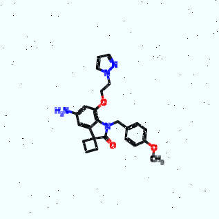 COc1ccc(CN2C(=O)C3(CCC3)c3cc(N)cc(OCCn4cccn4)c32)cc1